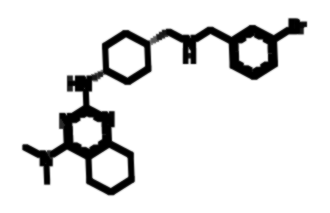 CN(C)c1nc(N[C@H]2CC[C@@H](CNCc3cccc(Br)c3)CC2)nc2c1CCCC2